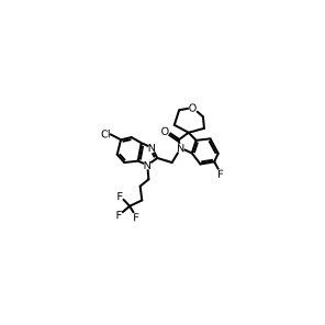 O=C1N(Cc2nc3cc(Cl)ccc3n2CCCC(F)(F)F)c2cc(F)ccc2C12CCOCC2